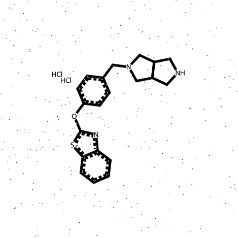 Cl.Cl.c1ccc2sc(Oc3ccc(CN4CC5CNCC5C4)cc3)nc2c1